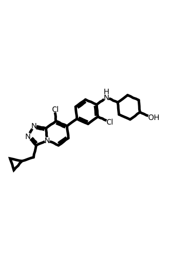 OC1CCC(Nc2ccc(-c3ccn4c(CC5CC5)nnc4c3Cl)cc2Cl)CC1